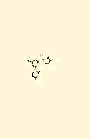 CC1=C(C)C(=O)N(Nc2cc(C(F)(F)F)cc(-n3ccc(N)nc3=O)n2)C1=O